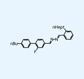 CCCCCCCc1ccccc1C=NN=Cc1ccc(-c2ccc(CCCC)cc2)c(F)c1